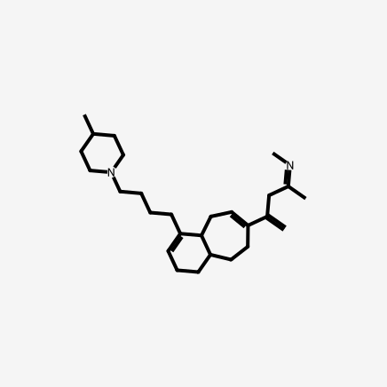 C=C(C/C(C)=N\C)C1=CCC2C(CCCCN3CCC(C)CC3)=CCCC2CC1